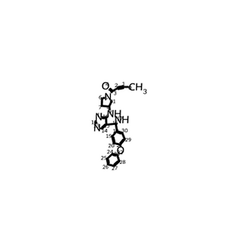 CC#CC(=O)N1CCC(Nc2ncncc2C(=N)c2ccc(Oc3ccccc3)cc2)C1